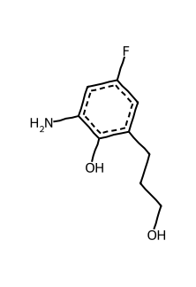 Nc1cc(F)cc(CCCO)c1O